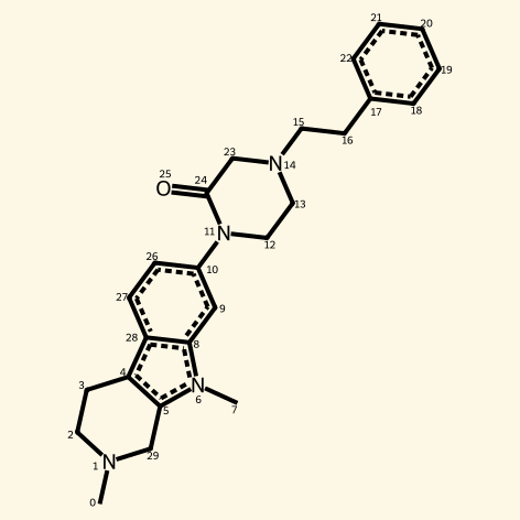 CN1CCc2c(n(C)c3cc(N4CCN(CCc5ccccc5)CC4=O)ccc23)C1